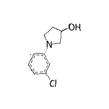 OC1CCN(c2[c]ccc(Cl)c2)C1